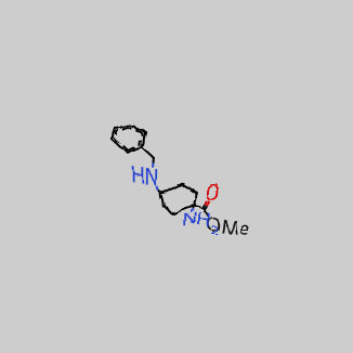 COC(=O)C1(N)CCC(NCc2ccccc2)CC1